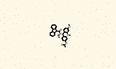 COc1ccc([C@H](c2ccc(OC(C)=O)cc2)N(OC)C(=O)C2c3ccccc3-c3ccccc32)c(OC)c1